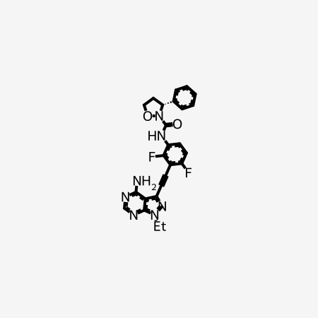 CCn1nc(C#Cc2c(F)ccc(NC(=O)N3OCC[C@@H]3c3ccccc3)c2F)c2c(N)ncnc21